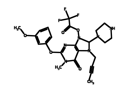 CC#CCN1c2c(nc(Oc3cccc(OC)c3)n(C)c2=O)N(OC(=O)C(F)(F)F)C1N1CCNCC1